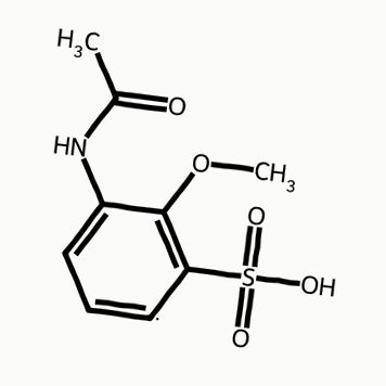 COc1c(S(=O)(=O)O)[c]ccc1NC(C)=O